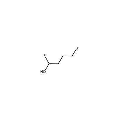 OC(F)CCCBr